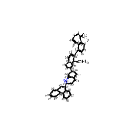 C=C1C=CC=Cc2c1cccc2-c1ccc2ccc(-c3ccc4ccc(-c5cc6ccccc6c6ccccc56)nc4c3)cc2c1C